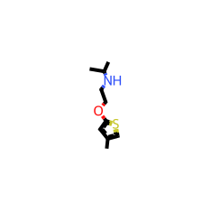 Cc1csc(OCCNC(C)C)c1